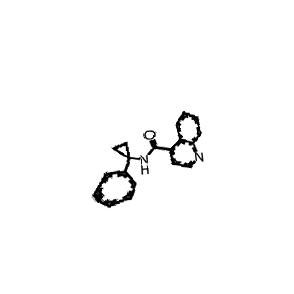 O=C(NC1(c2ccccc2)CC1)c1ccnc2ccccc12